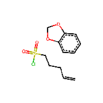 C=CCCCS(=O)(=O)Cl.c1ccc2c(c1)OCO2